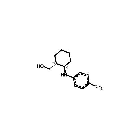 OC[C@@H]1CCCC[C@H]1Nc1ccc(C(F)(F)F)nc1